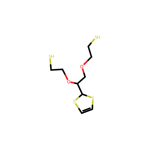 SCCOCC(OCCS)C1SC=CS1